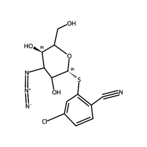 N#Cc1ccc(Cl)cc1S[C@H]1OC(CO)[C@H](O)C(N=[N+]=[N-])C1O